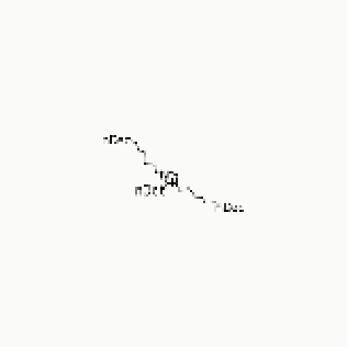 CCCCCCCCCCCCCCCCN1C=CN(CCCCCCCCCCCCCCCC)C1CCCCCCCC